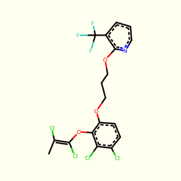 CC(Cl)=C(Cl)Oc1c(OCCCOc2ncccc2C(F)(F)F)ccc(Cl)c1Cl